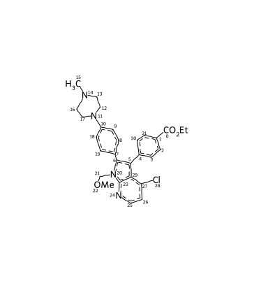 CCOC(=O)c1ccc(-c2c(-c3ccc(N4CCN(C)CC4)cc3)n(COC)c3nccc(Cl)c23)cc1